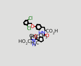 C[C@H](NC(=O)[C@@]1(C)CC[C@H](C(=O)N[C@@H](Cc2ccc(OCc3c(Cl)cccc3Cl)cc2)C(=O)O)C1(C)C)C(=O)O